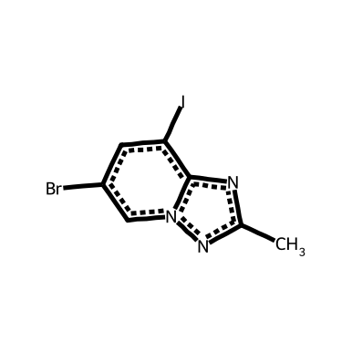 Cc1nc2c(I)cc(Br)cn2n1